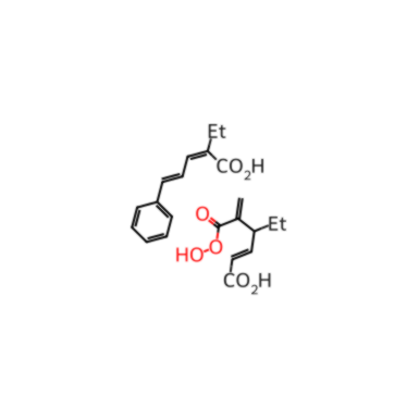 C=C(C(=O)OO)C(C=CC(=O)O)CC.CCC(=CC=Cc1ccccc1)C(=O)O